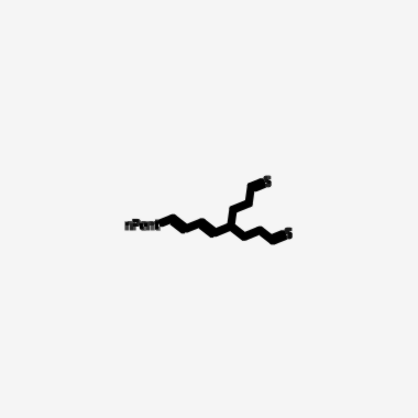 CCCCCC=CC=CC(CCC=S)CCC=S